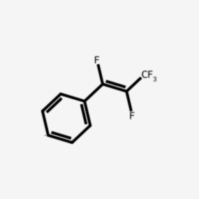 FC(=C(F)C(F)(F)F)c1cc[c]cc1